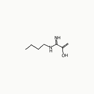 C=C(O)C(=N)NCCCC